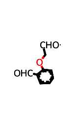 O=[C]COc1ccccc1C=O